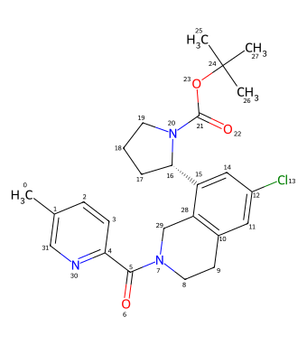 Cc1ccc(C(=O)N2CCc3cc(Cl)cc([C@@H]4CCCN4C(=O)OC(C)(C)C)c3C2)nc1